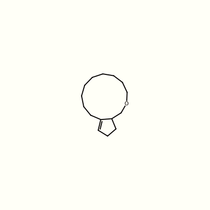 C1=C2CCCCCCCCCOCC2CC1